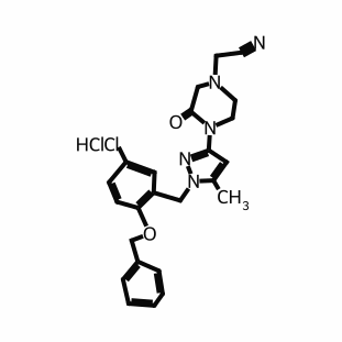 Cc1cc(N2CCN(CC#N)CC2=O)nn1Cc1cc(Cl)ccc1OCc1ccccc1.Cl